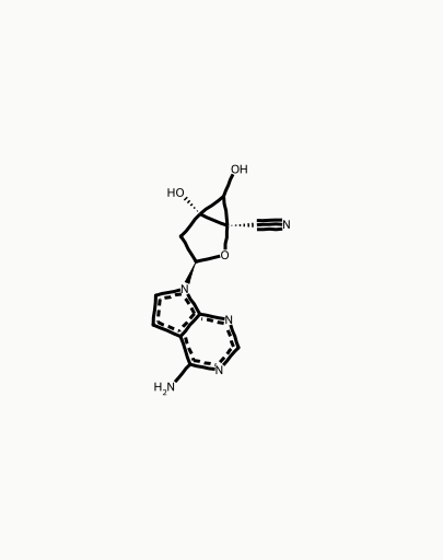 N#C[C@]12O[C@@H](n3ccc4c(N)ncnc43)C[C@@]1(O)C2O